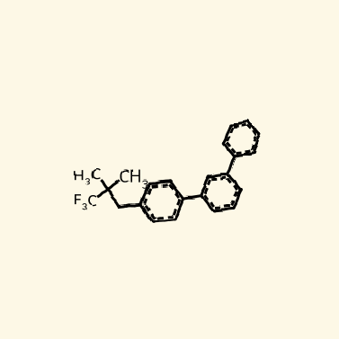 CC(C)(Cc1ccc(-c2cccc(-c3ccccc3)c2)cc1)C(F)(F)F